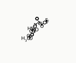 CS(=O)(=O)c1ccc(CN2C(=O)NC3(CCN(C[C@H]4CN(C(=O)C5CCC(F)(F)CC5)C[C@@H]4c4ccccc4)CC3)C2=O)cc1